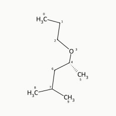 CCCO[C@H](C)CC(C)C